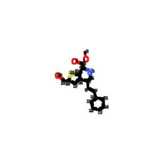 COC(=O)c1ncc(C=Cc2ccccc2)c2cc(C=O)sc12